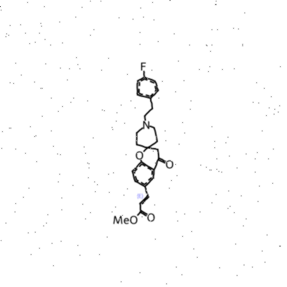 COC(=O)/C=C/c1ccc2c(c1)C(=O)CC1(CCN(CCc3ccc(F)cc3)CC1)O2